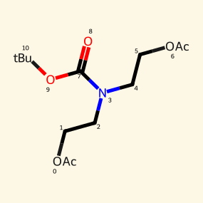 CC(=O)OCCN(CCOC(C)=O)C(=O)OC(C)(C)C